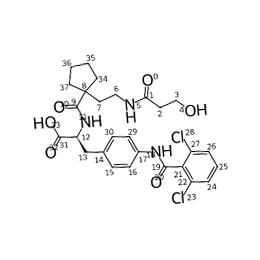 O=C(CCO)NCCC1(C(=O)N[C@@H](Cc2ccc(NC(=O)c3c(Cl)cccc3Cl)cc2)C(=O)O)CCCC1